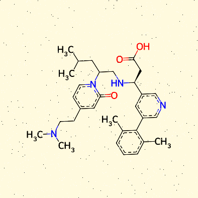 Cc1cccc(C)c1-c1cncc([C@H](CC(=O)O)NCC(CC(C)C)n2ccc(CCN(C)C)cc2=O)c1